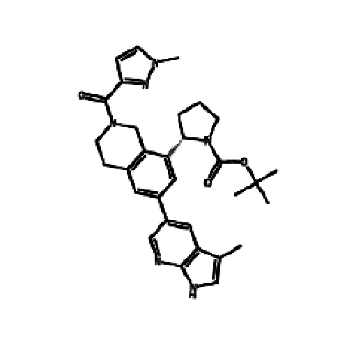 Cc1c[nH]c2ncc(-c3cc4c(c([C@@H]5CCCN5C(=O)OC(C)(C)C)c3)CN(C(=O)c3ccn(C)n3)CC4)cc12